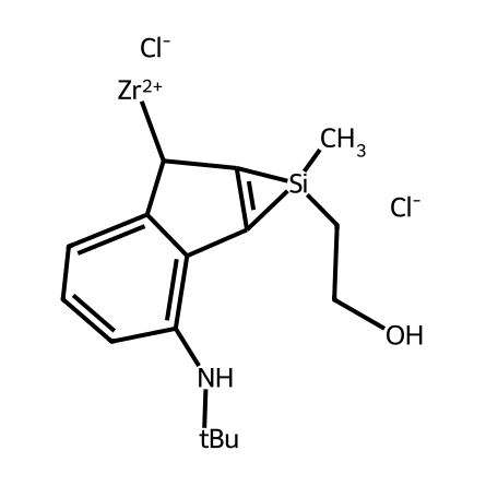 CC(C)(C)Nc1cccc2c1C1=C([CH]2[Zr+2])[Si]1(C)CCO.[Cl-].[Cl-]